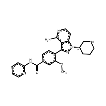 COc1cc(C(=O)Nc2ccccn2)ccc1-c1nn([C@@H]2CCCNC2)c2ccnc(N)c12